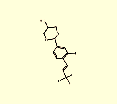 CC1COC(c2ccc(/C=C/C(F)(F)F)c(F)c2)OC1